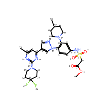 COC(=O)CS(=O)(=O)Nc1ccc(-n2cc(-c3cc(C)nc(N4CCC(F)(F)CC4)n3)cn2)c(N2CCC(C)CC2)c1